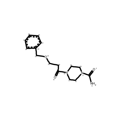 NC(=O)N1CCN(C(=O)[CH]COCc2ccccc2)CC1